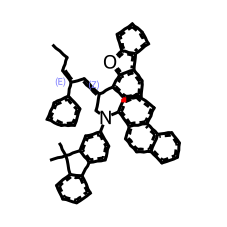 CC/C=C(\C=C(/CN(c1ccc2c(c1)C(C)(C)c1ccccc1-2)c1cccc2c1ccc1ccccc12)c1cccc2c1oc1ccccc12)c1ccccc1